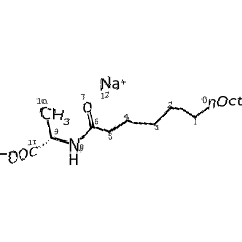 CCCCCCCCCCCCCC(=O)N[C@@H](C)C(=O)[O-].[Na+]